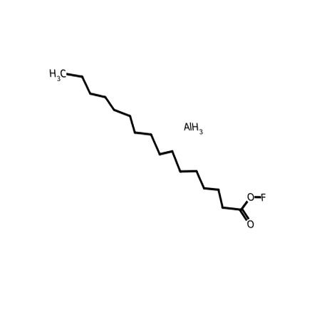 CCCCCCCCCCCCCCCC(=O)OF.[AlH3]